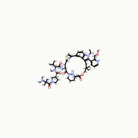 CCn1c(-c2cccnc2[C@H](C)OC)c2c3cc(ccc31)-c1csc(n1)C[C@H](NC(=O)C(C(C)C)N(C)C(=O)[C@H]1CCN(C(=O)C(C)(C)N(C)C)C1)C(=O)N1CCC[C@H](N1)C(=O)OCC(C)(C)C2